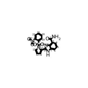 NC(=O)c1cccc2[nH]c(-c3cccn3S(=O)(=O)c3ccccc3[N+](=O)[O-])nc12